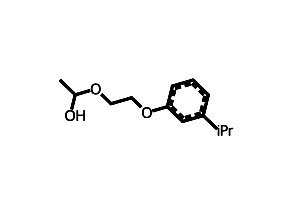 CC(O)OCCOc1cccc(C(C)C)c1